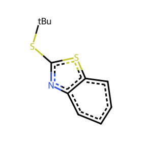 CC(C)(C)Sc1nc2ccccc2s1